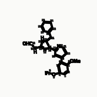 COc1ccc(OC(C)C)cc1-c1ccnc(N2N=C(NC=O)NC2Cc2ccccc2)c1